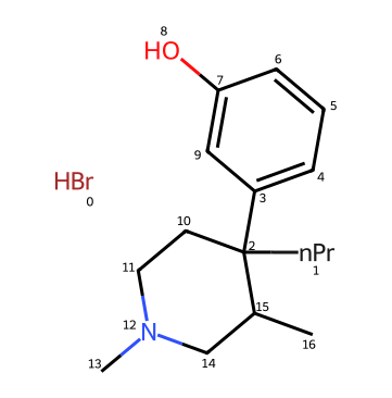 Br.CCCC1(c2cccc(O)c2)CCN(C)CC1C